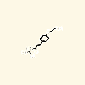 CCC(CC)NC(=O)/C=C/c1ccc(OCCO)cc1